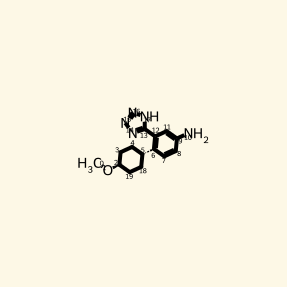 CO[C@H]1CC[C@H](c2ccc(N)cc2-c2nnn[nH]2)CC1